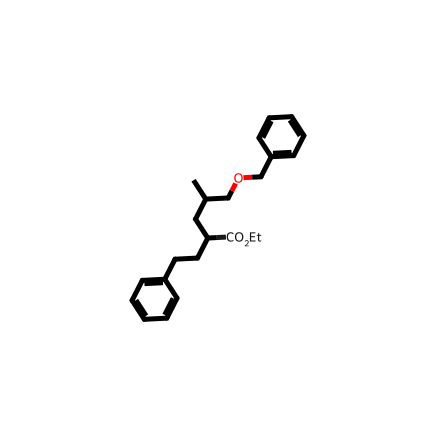 CCOC(=O)C(CCc1ccccc1)CC(C)COCc1ccccc1